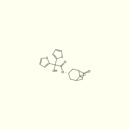 C[N+]1(C)C2CC(=O)C1C[C@@H](OC(=O)C(O)(c1cccs1)c1cccs1)C2